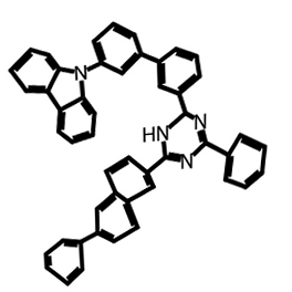 c1ccc(C2=NC(c3cccc(-c4cccc(-n5c6ccccc6c6ccccc65)c4)c3)NC(c3ccc4cc(-c5ccccc5)ccc4c3)=N2)cc1